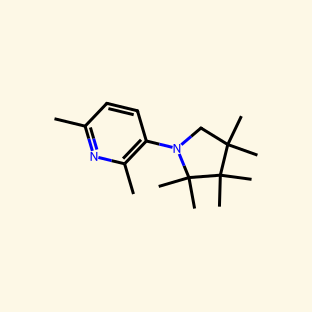 Cc1ccc(N2CC(C)(C)C(C)(C)C2(C)C)c(C)n1